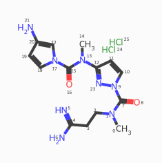 CN(CCC(=N)N)C(=O)n1ccc(N(C)C(=O)n2ccc(N)c2)n1.Cl.Cl